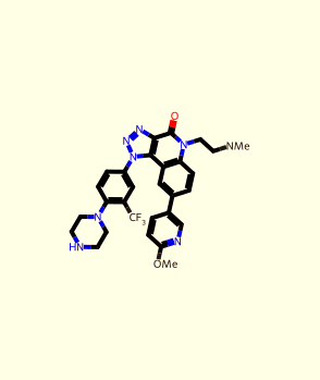 CNCCn1c(=O)c2nnn(-c3ccc(N4CCNCC4)c(C(F)(F)F)c3)c2c2cc(-c3ccc(OC)nc3)ccc21